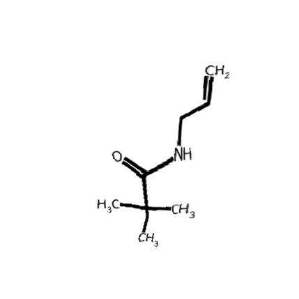 C=CCNC(=O)C(C)(C)C